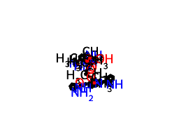 Cc1ncsc1-c1ccc([C@H](C)NC(=O)[C@@H]2C[C@@H](O)CN2C(=O)[C@@H](NC(=O)CC(C)(C)COCC(C)(C)CN(CCc2c[nH]c3ccccc23)Cc2ccc(/C=C/C(=O)Nc3ccccc3N)cc2)C(C)(C)C)cc1